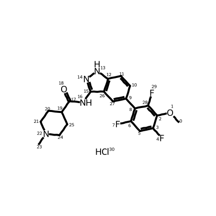 COc1c(F)cc(F)c(-c2ccc3[nH]nc(NC(=O)C4CCN(C)CC4)c3c2)c1F.Cl